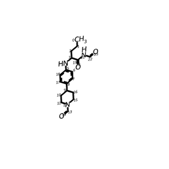 CCCC(Nc1ccc(C2CCN(C=O)CC2)cc1)C(=O)NC=O